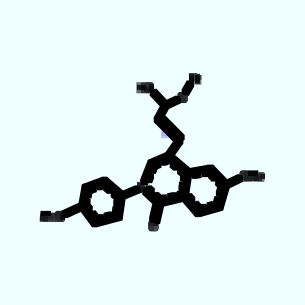 CCOC(O)/C=C/c1cn(-c2ccc(OC)cc2)c(=O)c2ccc(OC)cc12